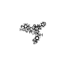 Cc1c(N2CCN(C(=O)c3c(F)ccc(F)c3O)CC2)c(=O)n2nc(C3=CCOCC3)nc2n1CC(=O)Nc1ccc(C(F)(F)F)cc1